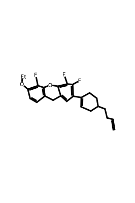 C=CCCC1CC=C(c2cc3c(c(F)c2F)Oc2c(ccc(OCC)c2F)C3)CC1